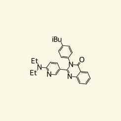 CCC(C)c1ccc(-n2c(-c3ccc(N(CC)CC)nc3)nc3ccccc3c2=O)cc1